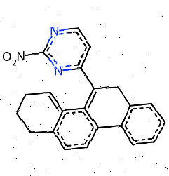 O=[N+]([O-])c1nccc(C2=c3c(ccc4c3=CCCC4)-c3ccccc3C2)n1